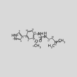 COc1cc(-c2cn[nH]c2)ccc1NC(=O)NCCN(C)C